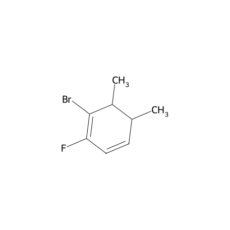 CC1C=CC(F)=C(Br)C1C